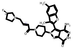 Cc1ccc2oc(-c3c4c(N)n[nH]c(=O)c4nn3C3CCN(C(=O)/C=C/CN4CC[C@@H](F)C4)CC3)c(C)c2c1